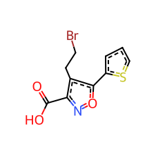 O=C(O)c1noc(-c2cccs2)c1CCBr